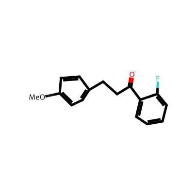 COc1ccc(CCC(=O)c2ccccc2F)cc1